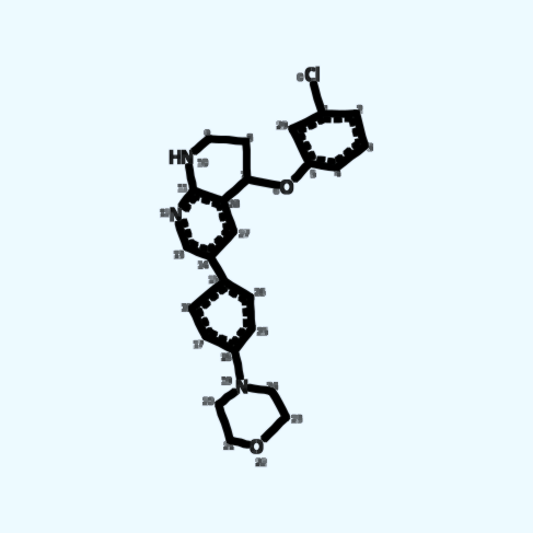 Clc1cccc(OC2CCNc3ncc(-c4ccc(N5CCOCC5)cc4)cc32)c1